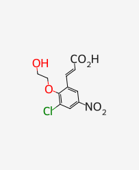 O=C(O)C=Cc1cc([N+](=O)[O-])cc(Cl)c1OCCO